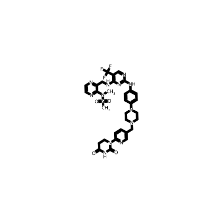 CN(c1nccnc1CNc1nc(Nc2ccc(N3CCN(Cc4ccc(N5CCC(=O)NC5=O)nc4)CC3)cc2)ncc1C(F)(F)F)S(C)(=O)=O